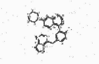 Fc1ccc(Cc2ncnc3ccsc23)cc1-c1ncnc2cc(N3CCOCC3)ccc12